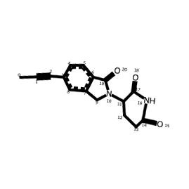 CC#Cc1ccc2c(c1)CN(C1CCC(=O)NC1=O)C2=O